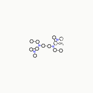 CC1CC(N(c2ccc(-c3ccc(N(c4cccc(-c5ccccc5)c4)c4ccc5c(c4)c4ccccc4n5-c4ccccc4)cc3)cc2)c2cccc(-c3ccccc3)c2)=Cc2c1n(C1=CCCC=C1)c1ccccc21